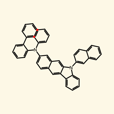 c1ccc(-c2ccccc2N(c2ccccc2)c2ccc3cc4c5ccccc5n(-c5ccc6ccccc6c5)c4cc3c2)cc1